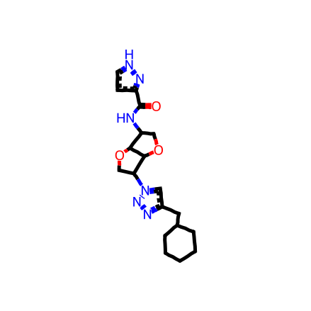 O=C(NC1COC2C1OCC2n1cc(CC2CCCCC2)nn1)c1cc[nH]n1